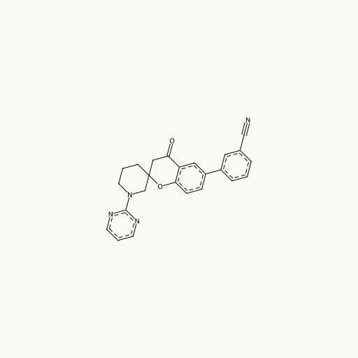 N#Cc1cccc(-c2ccc3c(c2)C(=O)CC2(CCCN(c4ncccn4)C2)O3)c1